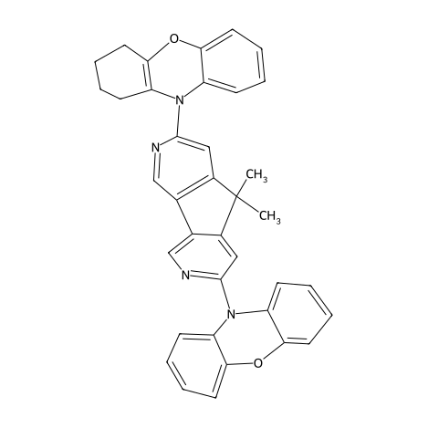 CC1(C)c2cc(N3C4=C(CCCC4)Oc4ccccc43)ncc2-c2cnc(N3c4ccccc4Oc4ccccc43)cc21